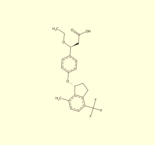 CCO[C@@H](CC(=O)O)c1ccc(O[C@@H]2CCc3c(C(F)(F)F)ccc(C)c32)cc1